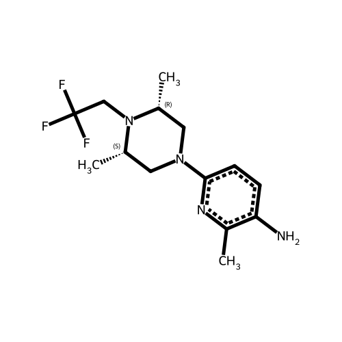 Cc1nc(N2C[C@@H](C)N(CC(F)(F)F)[C@@H](C)C2)ccc1N